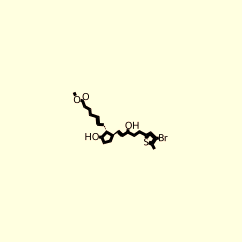 COC(=O)CCCC=CC[C@H]1C(O)CC[C@@H]1C=CC(O)CCc1cc(Br)c(C)s1